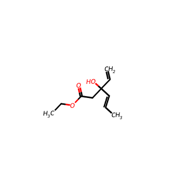 C=CC(O)(/C=C/C)CC(=O)OCC